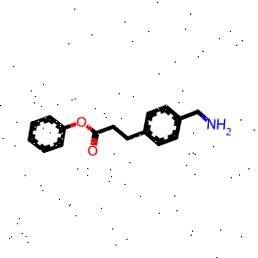 NCc1ccc(CCC(=O)Oc2ccccc2)cc1